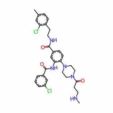 CNCCC(=O)N1CCN(c2ccc(C(=O)NCCc3ccc(C)cc3Cl)cc2NC(=O)c2cccc(Cl)c2)CC1